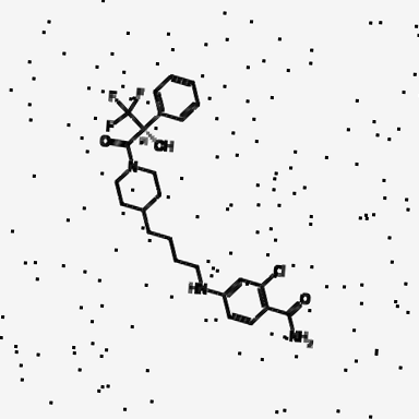 NC(=O)c1ccc(NCCCCC2CCN(C(=O)[C@](O)(c3ccccc3)C(F)(F)F)CC2)cc1Cl